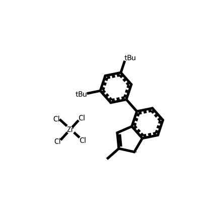 CC1=Cc2c(cccc2-c2cc(C(C)(C)C)cc(C(C)(C)C)c2)[CH]1.[Cl][Zr]([Cl])([Cl])[Cl]